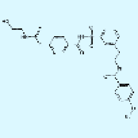 CCOc1ccc(C(=O)NCCc2cccc(S(=O)(=O)NC(=O)c3ccc(OC(=O)NCCO)nc3)c2)cc1